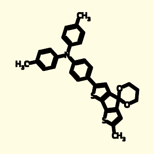 Cc1ccc(N(c2ccc(C)cc2)c2ccc(-c3cc4c(s3)-c3sc(C)cc3C43OCCCO3)cc2)cc1